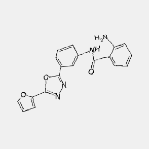 Nc1ccccc1C(=O)Nc1cccc(-c2nnc(-c3ccco3)o2)c1